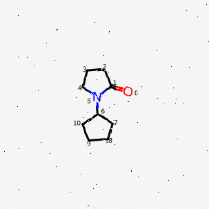 O=C1CCCN1C1C[CH]CC1